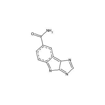 NC(=O)c1ccc2c(c1)=C1N=CN=C1N=2